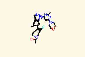 CC(=O)CN1CCC(c2cc3c(cnn3-c3cc(N4CCOCC4)nc(C)n3)cc2C)C(F)C1